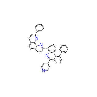 c1ccc(-c2ccc3ccc4ccc(-c5cccc6c5nc(-c5ccncc5)c5cccc(-c7ccccc7)c56)nc4c3n2)cc1